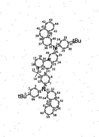 CC(C)(C)c1ccc(N(c2ccc3c(c2)C(C)(C)c2cccc4c2c-3cc2ccc(N(c3ccc(C(C)(C)C)cc3)c3ccc5ccc6ccccc6c5c3)cc24)c2ccc3ccc4ccccc4c3c2)cc1